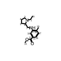 CCN1CCCC1CNc1cc(C(=O)OC)ccc1C